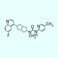 Cc1ccc(NC(=O)N(C)C2CC3CC(c4ccnc5ccc(F)cc45)CC3C2)nc1